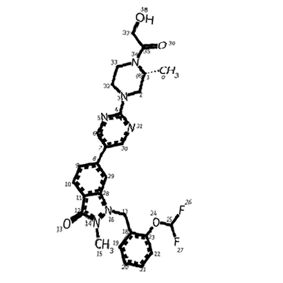 C[C@@H]1CN(c2ncc(-c3ccc4c(=O)n(C)n(Cc5ccccc5OC(F)F)c4c3)cn2)CCN1C(=O)CO